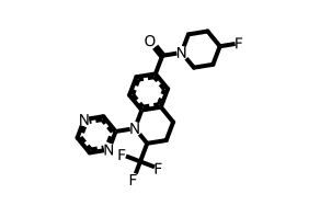 O=C(c1ccc2c(c1)CCC(C(F)(F)F)N2c1cnccn1)N1CCC(F)CC1